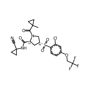 CC1(C(=O)N2C[C@H](S(=O)(=O)c3ccc(OCC(F)(F)F)cc3Cl)C[C@H]2C(=O)NC2(C#N)CC2)CC1